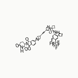 O=C1CCC(N2C(=O)c3ccc(N4CC(C#Cc5cnn(C6(C(=O)Nc7ccc(C(F)(C(F)(F)F)C(F)(F)F)cc7Cl)CCC6)c5)C4)cc3C2=O)C(=O)N1